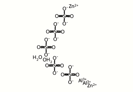 O.O.O=S(=O)([O-])[O-].O=S(=O)([O-])[O-].O=S(=O)([O-])[O-].O=S(=O)([O-])[O-].O=S(=O)([O-])[O-].[Al+3].[Al+3].[Zn+2].[Zn+2]